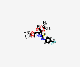 CC1(C)O[C@H]2O[C@H]([C@H]3COC(C)(C)O3)[C@@H](NC(=S)Nc3ccc(C(F)(F)F)cc3)[C@H]2O1